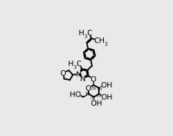 CC(C)=Cc1ccc(Cc2c(O[C@@H]3O[C@H](CO)[C@@H](O)[C@H](O)[C@H]3O)nn(C3CCOC3)c2C)cc1